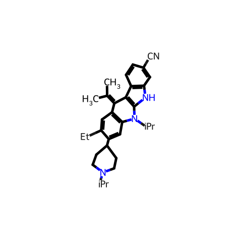 CCc1cc2c(cc1C1CCN(C(C)C)CC1)N(C(C)C)c1[nH]c3cc(C#N)ccc3c1C2=C(C)C